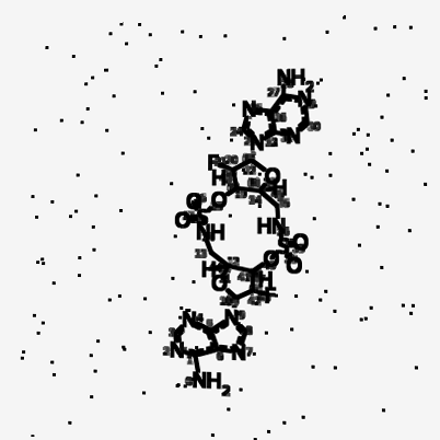 Nc1ncnc2c1ncn2[C@@H]1O[C@@H]2CNS(=O)(=O)O[C@H]3[C@@H](F)[C@H](n4cnc5c(N)ncnc54)O[C@@H]3CNS(=O)(=O)O[C@H]2[C@H]1F